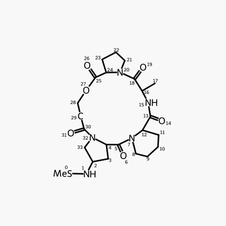 CSNC1CC2C(=O)N3CCCCC3C(=O)NC(C)C(=O)N3CCCC3C(=O)OCCC(=O)N2C1